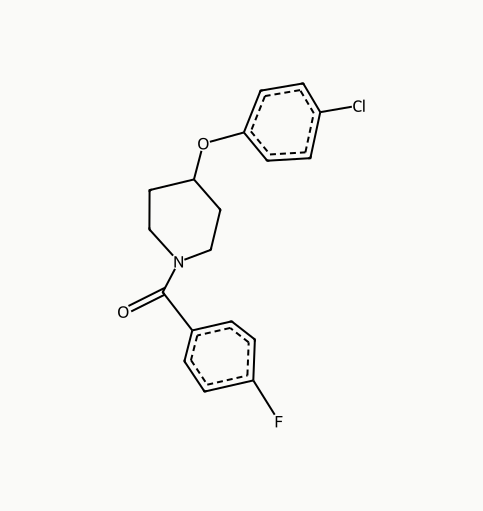 O=C(c1ccc(F)cc1)N1CCC(Oc2ccc(Cl)cc2)CC1